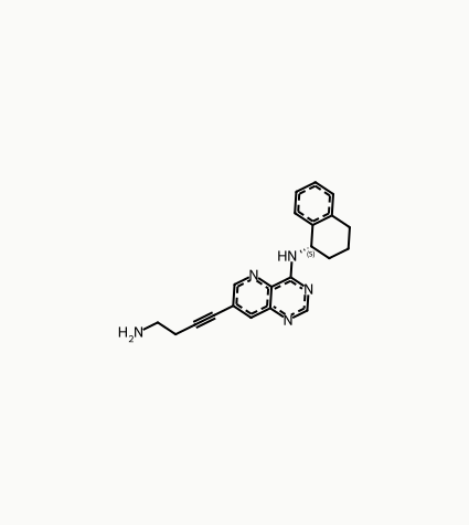 NCCC#Cc1cnc2c(N[C@H]3CCCc4ccccc43)ncnc2c1